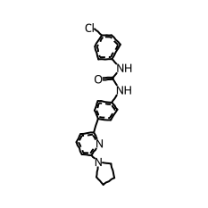 O=C(Nc1ccc(Cl)cc1)Nc1ccc(-c2cccc(N3CCCC3)n2)cc1